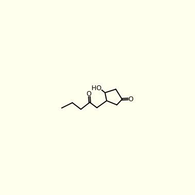 CCCC(=O)CC1CC(=O)CC1O